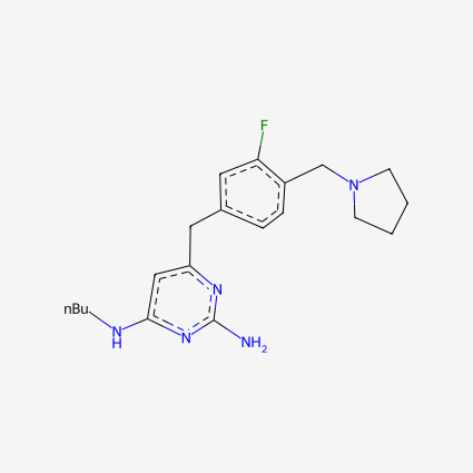 CCCCNc1cc(Cc2ccc(CN3CCCC3)c(F)c2)nc(N)n1